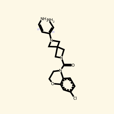 N/C=C\C(=C/N)N1CC2(CN(C(=O)N3CCOc4cc(Cl)ccc43)C2)C1